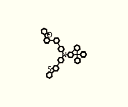 c1ccc(C2(c3ccccc3)c3ccccc3-c3cc(N(c4ccc(-c5cccc(-c6cccc7c6oc6ccccc67)c5)cc4)c4ccc(-c5ccc6c(c5)sc5ccccc56)cc4)ccc32)cc1